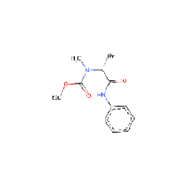 CC(C)[C@H](C(=O)Nc1ccccc1)N(C)C(=O)OC(C)(C)C